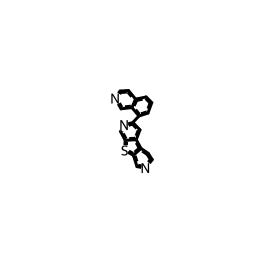 c1cc(-c2cc3c(cn2)sc2cnccc23)c2cnccc2c1